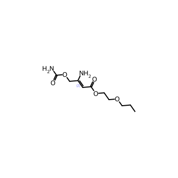 CCCOCCOC(=O)/C=C(\N)COC(N)=O